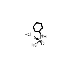 Cl.O=S(O)(=S)NC1CCCCC1